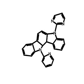 C1=C2c3ccccc3N(c3ccccn3)C2C2C(=C1)N(c1ncccn1)c1ccccc12